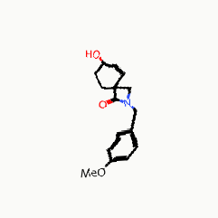 COc1ccc(CN2CC3(CCC(O)CC3)C2=O)cc1